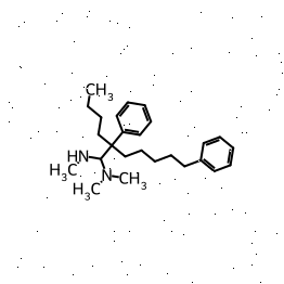 CCCCC(CCCCCc1ccccc1)(c1ccccc1)C(NC)N(C)C